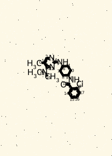 Cc1cnc(NC2CCC(NC(=O)c3ccccc3Cl)CC2)nc1N(C)C